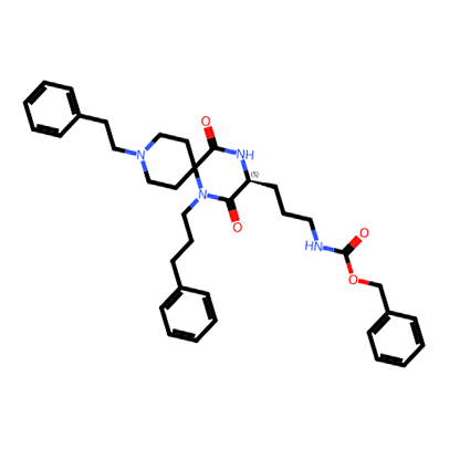 O=C(NCCC[C@@H]1NC(=O)C2(CCN(CCc3ccccc3)CC2)N(CCCc2ccccc2)C1=O)OCc1ccccc1